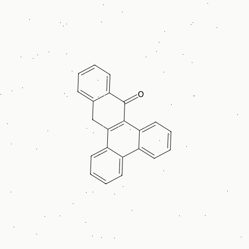 O=C1c2ccccc2Cc2c1c1ccccc1c1ccccc21